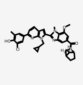 COc1cc(C(=O)N2CC3CCC2[C@@H]3N)cc2nc(-c3cc4ccc(-c5cc(C)c(O)c(Cl)c5)nc4n3CC3CC3)n(C)c12